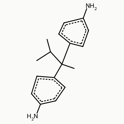 CC(C)C(C)(c1ccc(N)cc1)c1ccc(N)cc1